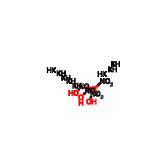 O=[N+]([O-])O.O=[N+]([O-])O.O=[N+]([O-])O.O=[N+]([O-])O.[KH].[KH].[KH].[KH].[KH].[KH].[KH].[KH]